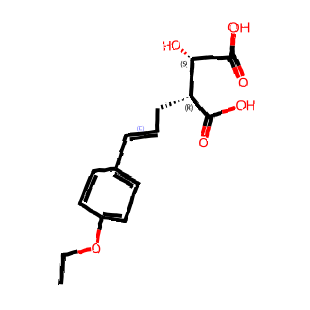 CCOc1ccc(/C=C/C[C@@H](C(=O)O)[C@H](O)C(=O)O)cc1